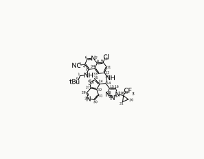 CC(C)(C)CNc1c(C#N)cnc2c(Cl)cc(NC(c3cn(C4(C(F)(F)F)CC4)nn3)c3csc4cnccc34)cc12